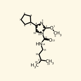 COc1nc(C2CCCC2)cn1C(=O)NCCC(C)C